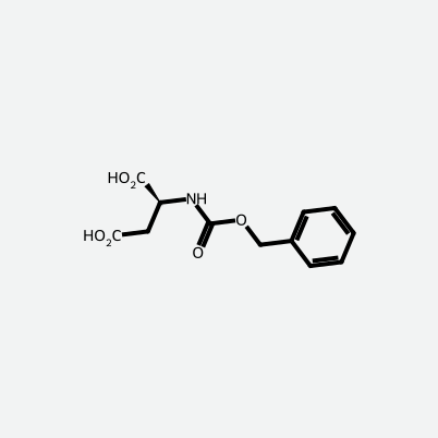 O=C(O)C[C@H](NC(=O)OCc1ccccc1)C(=O)O